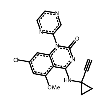 C#CC1(Nc2nc(=O)n(-c3cnccn3)c3cc(Cl)cc(OC)c23)CC1